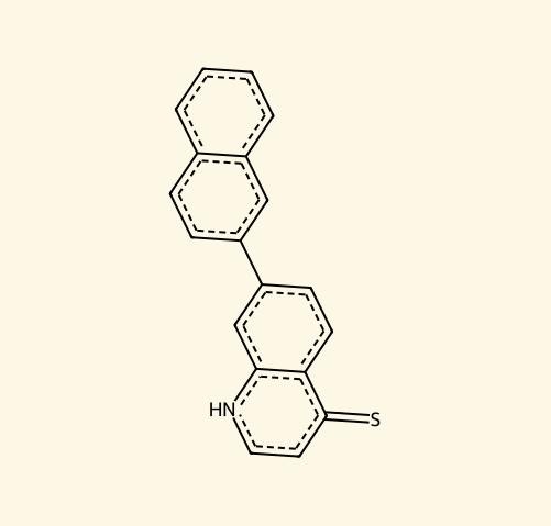 S=c1cc[nH]c2cc(-c3ccc4ccccc4c3)ccc12